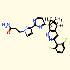 CC1(C)[C@H]2CC[C@]1(c1ccnc(-c3ccn(CCC(N)=O)n3)n1)c1nnc(-c3c(F)cccc3F)cc12